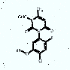 CC(C)Oc1cc(-n2c(=O)cc(C(F)(F)F)n(C=O)c2=O)c(F)cc1Cl